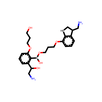 NCC(O)c1cccc(OCCCO)c1B(O)OCCCOc1cccc2c1BCC2CN